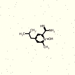 Cc1cc(CC(C)C)cc(C(=N)N)[n+]1O